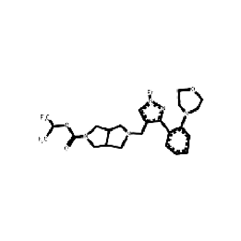 CCn1cc(CN2CC3CN(C(=O)OC(C(F)(F)F)C(F)(F)F)CC3C2)c(-c2ccccc2N2CCOCC2)n1